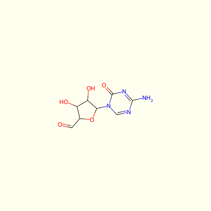 Nc1ncn(C2OC(C=O)C(O)C2O)c(=O)n1